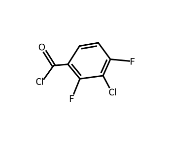 O=C(Cl)c1ccc(F)c(Cl)c1F